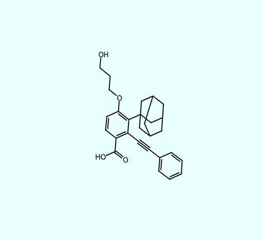 O=C(O)c1ccc(OCCCO)c(C23CC4CC(CC(C4)C2)C3)c1C#Cc1ccccc1